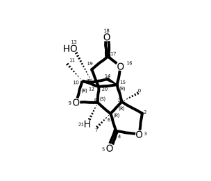 C[C@]12COC(=O)[C@@]1(C)[C@H]1O[C@@]3(C)[C@H](O)C[C@@]24OC(=O)CC134